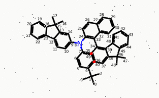 CC(C)(C)c1ccc(N(c2ccc3c(c2)C(C)(C)c2ccccc2-3)c2ccc3ccccc3c2-c2cccc3c2-c2ccccc2C3(C)C)cc1